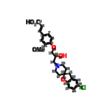 COc1cc(C=CC(=O)O)ccc1OC[C@@H](O)CN1CCC2(CC1)Cc1cc(Cl)ccc1O2